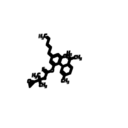 C=C(C)C1CCC(C)=C[C@H]1c1c(O)cc(CCCCC)cc1OC(=S)SC(C)(C)C1CO1